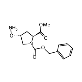 COC(=O)[C@@H]1C[C@@H](ON)CN1C(=O)OCc1ccccc1